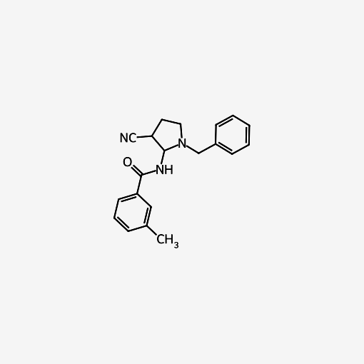 Cc1cccc(C(=O)NC2C(C#N)CCN2Cc2ccccc2)c1